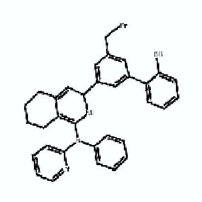 CC(C)Cc1cc(-c2ccccc2O)cc(C2C=C3CCCCC3=C(N(c3ccccc3)c3ccccn3)N2)c1